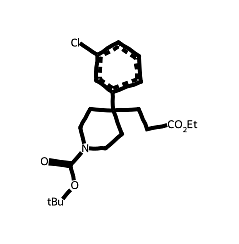 CCOC(=O)CCC1(c2cccc(Cl)c2)CCN(C(=O)OC(C)(C)C)CC1